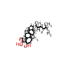 CC(C)CCCC(C)[C@H]1CC[C@H]2C3=C(CC[C@]12C)[C@@]1(C)CC[C@H](O)[C@@H](C(=O)O)[C@@H]1CC3